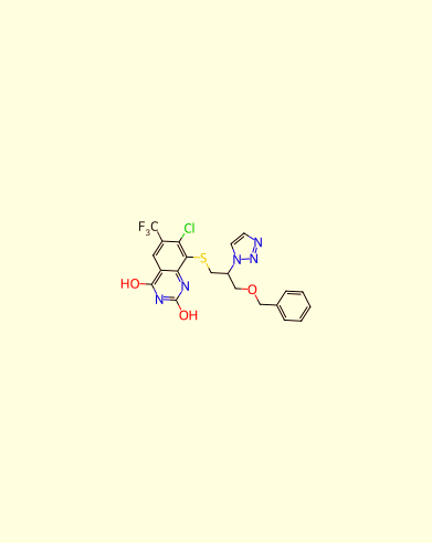 Oc1nc(O)c2cc(C(F)(F)F)c(Cl)c(SCC(COCc3ccccc3)n3ccnn3)c2n1